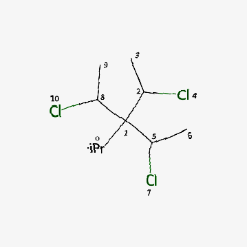 C[C](C)C(C(C)Cl)(C(C)Cl)C(C)Cl